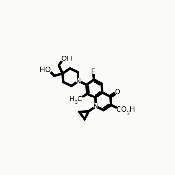 Cc1c(N2CCC(CO)(CO)CC2)c(F)cc2c(=O)c(C(=O)O)cn(C3CC3)c12